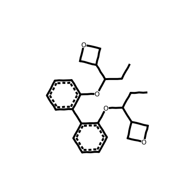 CCC(Oc1ccccc1-c1ccccc1OC(CC)C1COC1)C1COC1